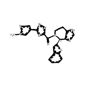 Cn1cc(-c2nnc(C(=O)N3CCc4[nH]cnc4[C@H]3c3cc4ccccc4o3)o2)cn1